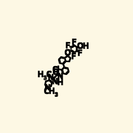 CN1CCc2c(nc(C(=O)Nc3cccc(-c4cccc5c4CCC5Oc4c(F)c(F)c(O)c(F)c4F)c3Cl)n2C)C1